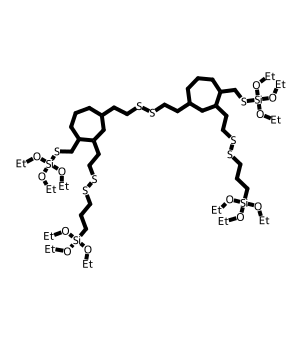 CCO[Si](CCCSSCCC1CC(CCSSCCC2CCCC(CS[Si](OCC)(OCC)OCC)C(CCSSCCC[Si](OCC)(OCC)OCC)C2)CCCC1CS[Si](OCC)(OCC)OCC)(OCC)OCC